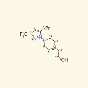 CC(C)c1cc(C(F)(F)F)nn1C1CCN(CCO)CC1